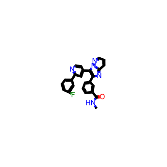 CNC(=O)c1cccc(-c2nc3cccnn3c2-c2ccnc(-c3cccc(F)c3)c2)c1